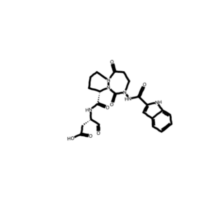 O=C[C@H](CC(=O)O)NC(=O)[C@@H]1CCCN2C(=O)CCN(NC(=O)c3cc4ccccc4[nH]3)C(=O)N12